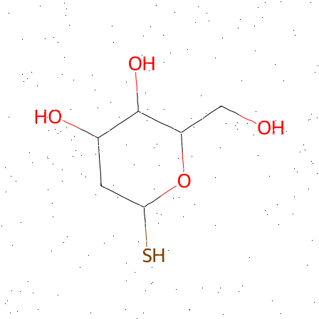 OCC1OC(S)CC(O)C1O